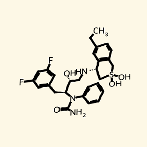 CCc1ccc2c(c1)[C@@H](NC[C@@H](O)[C@H](Cc1cc(F)cc(F)c1)N(C(N)=O)c1ccccc1)CS(O)(O)C2